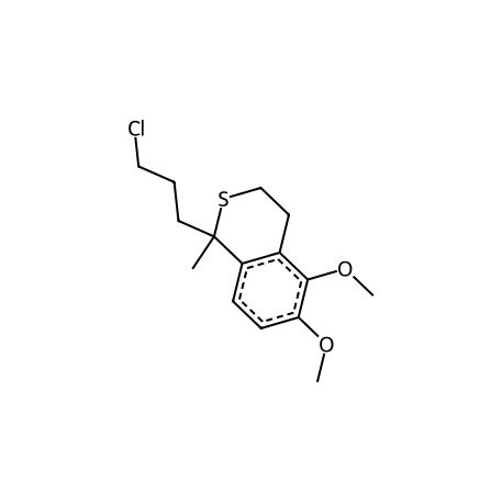 COc1ccc2c(c1OC)CCSC2(C)CCCCl